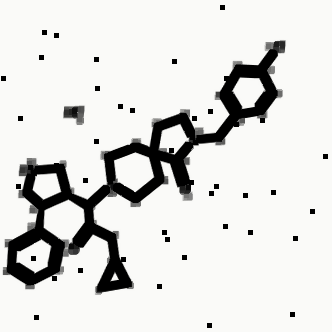 Cl.O=C(CC1CC1)C([C@@H]1CNC[C@@H]1c1ccccc1)N1CCC2(CCN(Cc3ccc(Cl)cc3)C2=O)CC1